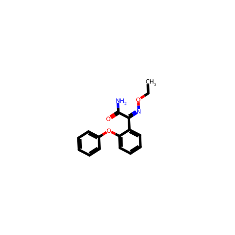 CCO/N=C(\C(N)=O)c1ccccc1Oc1ccccc1